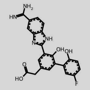 N=C(N)c1ccc2[nH]c(-c3cc(CC(=O)O)cc(-c4cc(F)ccc4O)c3O)nc2c1